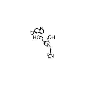 COc1ccc2nccc(C(O)CC[C@@H]3CCN(CC#Cc4nccs4)C[C@@H]3CO)c2c1